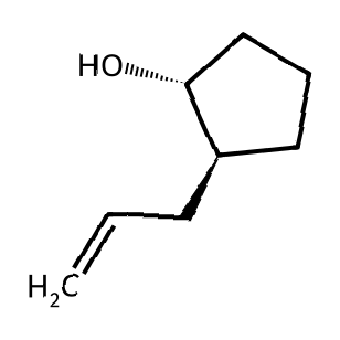 C=CC[C@@H]1CCC[C@H]1O